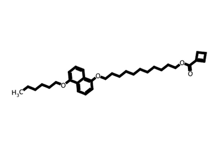 CCCCCCOc1cccc2c(OCCCCCCCCCCCOC(=O)C3=CCC3)cccc12